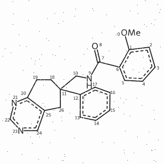 COc1ccccc1C(=O)NCC1(c2ccccc2)CCc2ncncc2C1